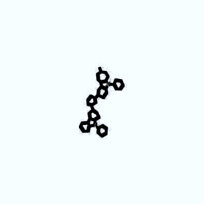 CC1C=Cc2c(n(-c3ccccc3)c3ccc(-c4cccc(-c5ccc6c(c5)c5ccccc5n6-c5ccccc5)c4)cc23)CC1